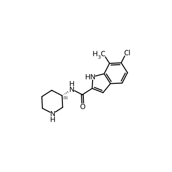 Cc1c(Cl)ccc2cc(C(=O)N[C@H]3CCCNC3)[nH]c12